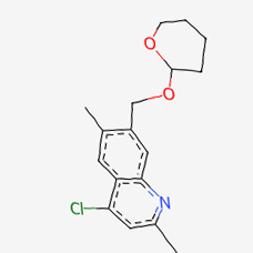 Cc1cc(Cl)c2cc(C)c(COC3CCCCO3)cc2n1